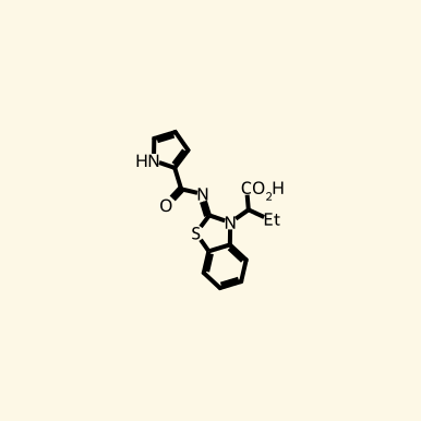 CCC(C(=O)O)n1c(=NC(=O)c2ccc[nH]2)sc2ccccc21